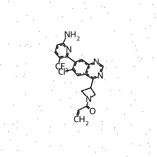 C=CC(=O)N1CC(c2ncnc3cc(-c4nc(N)ccc4C(F)(F)F)c(Cl)cc23)C1